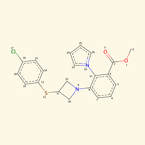 COC(=O)c1cccc(N2CC(Sc3ccc(Cl)cc3)C2)c1-n1cccc1